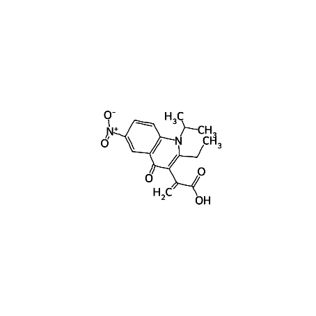 C=C(C(=O)O)c1c(CC)n(C(C)C)c2ccc([N+](=O)[O-])cc2c1=O